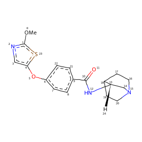 COc1ncc(Oc2ccc(C(=O)N[C@H]3CN4CCC3CC4)cc2)s1